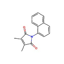 CC1=C(C)C(=O)N(c2cccc3ccccc23)C1=O